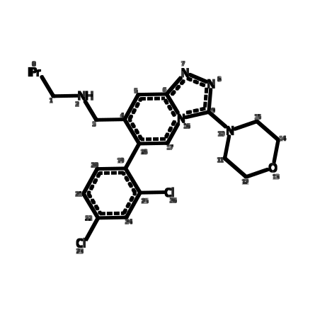 CC(C)CNCc1cc2nnc(N3CCOCC3)n2cc1-c1ccc(Cl)cc1Cl